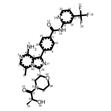 Cc1cnc(N)c2c(-c3ccc(C(=O)Nc4cc(C(F)(F)F)ccn4)cc3)nc([C@H]3CN(C(=O)[C@H](C)O)CCO3)n12